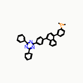 CP(C)c1cccc(-c2ccc(-c3ccc(-c4nc(-c5ccccc5)nc(-c5ccccc5)n4)cc3)c3ccccc23)c1